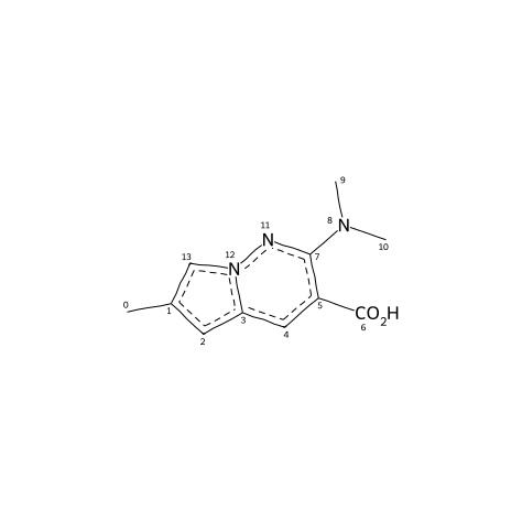 Cc1cc2cc(C(=O)O)c(N(C)C)nn2c1